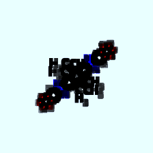 CC(C)(C)c1c2cc3nc4c(nc3cc2c(C(C)(C)C)c2cc3nc5c(nc3cc12)C1c2ccccc2C5c2ccccc21)C1c2ccccc2C4c2ccccc21